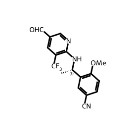 COc1ccc(C#N)cc1[C@H](C)Nc1ncc(C=O)cc1C(F)(F)F